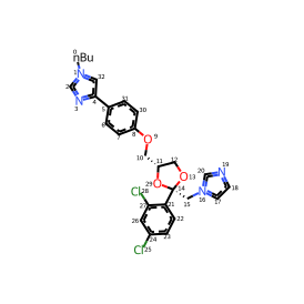 CCCCn1cnc(-c2ccc(OC[C@@H]3CO[C@@](Cn4ccnc4)(c4ccc(Cl)cc4Cl)O3)cc2)c1